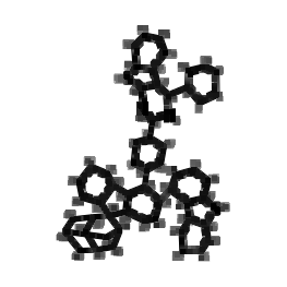 c1ccc(-c2nc(-c3ccc(-c4c(-c5cccc6sc7ccccc7c56)ccc5c4-c4ccccc4C54C5CC6CC(C5)CC4C6)cc3)nc3sc4ccccc4c23)cc1